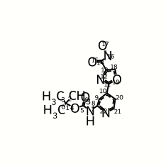 CC(C)(C)OC(=O)Nc1cc(-c2nc(C(=O)N=O)co2)ccn1